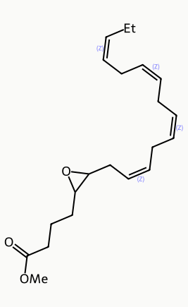 CC/C=C\C/C=C\C/C=C\C/C=C\CC1OC1CCCC(=O)OC